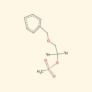 [2H]C([2H])(COCc1ccccc1)OS(C)(=O)=O